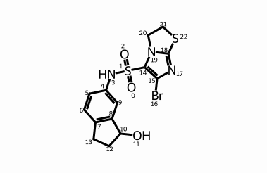 O=S(=O)(Nc1ccc2c(c1)C(O)CC2)c1c(Br)nc2n1CCS2